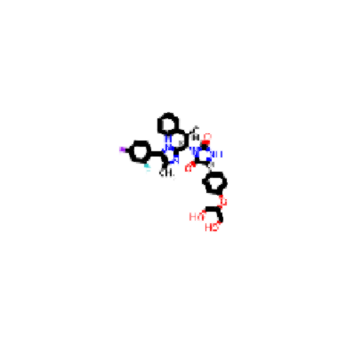 Cc1nc([C@H]([C@H](C)c2ccccc2)N2C(=O)N[C@H](c3ccc(OC(CO)CO)cc3)C2=O)[nH]c1-c1ccc(I)cc1F